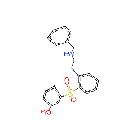 O=S(=O)(c1cccc(O)c1)c1ccccc1CCNCc1ccccc1